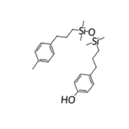 Cc1ccc(CCC[Si](C)(C)O[Si](C)(C)CCCc2ccc(O)cc2)cc1